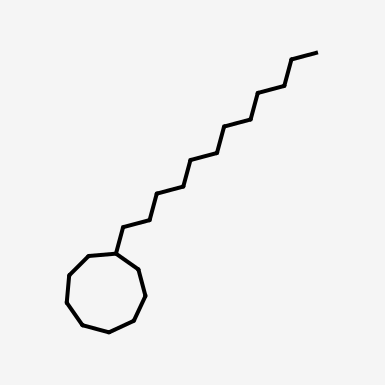 CCCCCCCCCCCCC1CCCCCCCC1